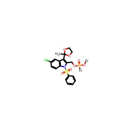 CCOP(=O)(CC)OCc1c(C2(C)OCCO2)c2cc(Cl)ccc2n1S(=O)(=O)c1ccccc1